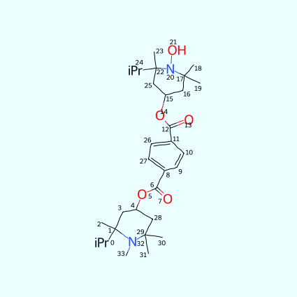 CC(C)C1(C)CC(OC(=O)c2ccc(C(=O)OC3CC(C)(C)N(O)C(C)(C(C)C)C3)cc2)CC(C)(C)N1C